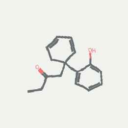 CCC(=O)CC1(c2ccccc2O)C=CC=CC1